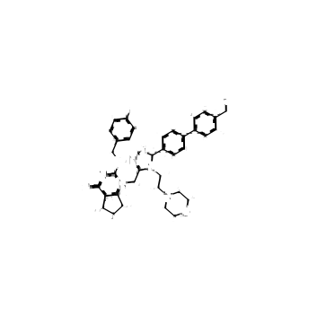 O=c1nc(SCc2ccc(F)cc2)n(CC2=NOC(c3ccc(-c4ccc(CF)cc4)cc3)N2CCN2CCOCC2)c2c1CCC2